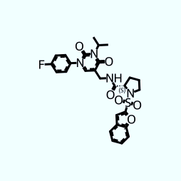 CC(C)n1c(=O)c(CNC(=O)[C@@H]2CCCN2S(=O)(=O)c2cc3ccccc3o2)cn(-c2ccc(F)cc2)c1=O